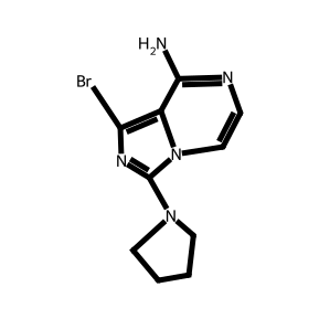 Nc1nccn2c(N3CCCC3)nc(Br)c12